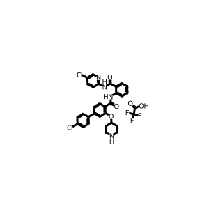 O=C(Nc1ccc(Cl)cn1)c1ccccc1NC(=O)c1ccc(-c2ccc(Cl)cc2)cc1OC1CCNCC1.O=C(O)C(F)(F)F